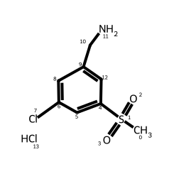 CS(=O)(=O)c1cc(Cl)cc(CN)c1.Cl